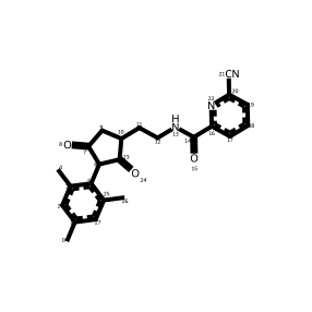 Cc1cc(C)c(C2C(=O)CC(CCNC(=O)c3cccc(C#N)n3)C2=O)c(C)c1